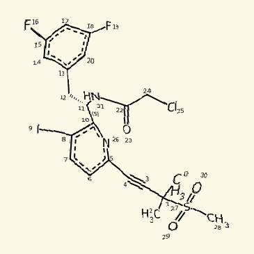 CC(C)(C#Cc1ccc(I)c([C@H](Cc2cc(F)cc(F)c2)NC(=O)CCl)n1)S(C)(=O)=O